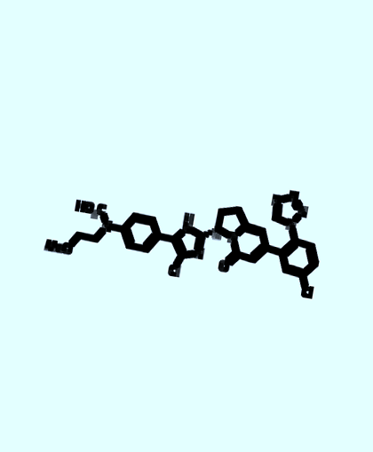 COCCN(C(=O)O)c1ccc(-c2[nH]c([C@@H]3CCc4cc(-c5cc(Cl)ccc5-n5cnnn5)cc(=O)n43)nc2Cl)cc1